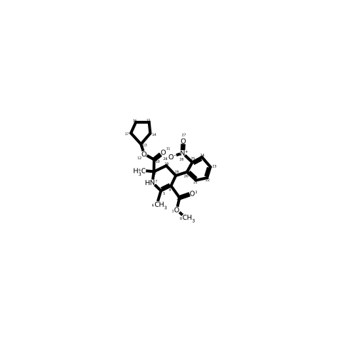 COC(=O)C1=C(C)NC(C)(C(=O)OC2CCCC2)CC1c1ccccc1[N+](=O)[O-]